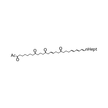 CCCCCCCC=CC=CC=CCCCC(=O)CCC=CCC(=O)CCCC(=O)CCCCCCC(=O)C(C)=O